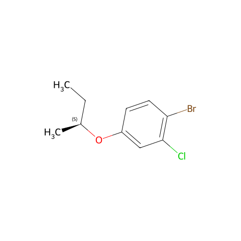 CC[C@H](C)Oc1ccc(Br)c(Cl)c1